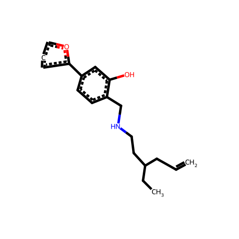 C=CCC(CC)CCNCc1ccc(-c2ccco2)cc1O